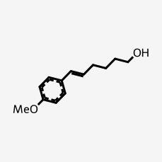 COc1ccc(C=CCCCCO)cc1